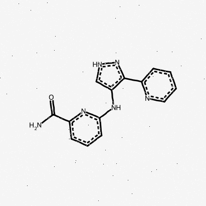 NC(=O)c1[c]ccc(Nc2c[nH]nc2-c2ccccn2)n1